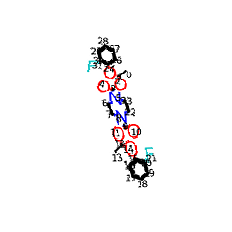 C[C@@H](OC(=O)N1CCN(C(=O)O[C@H](C)Oc2ccccc2F)CC1)Oc1ccccc1F